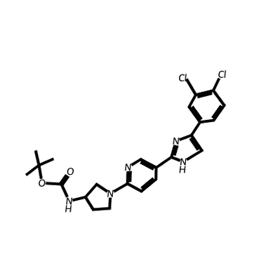 CC(C)(C)OC(=O)NC1CCN(c2ccc(-c3nc(-c4ccc(Cl)c(Cl)c4)c[nH]3)cn2)C1